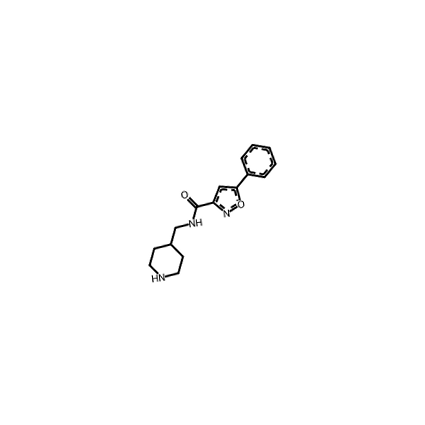 O=C(NCC1CCNCC1)c1cc(-c2ccccc2)on1